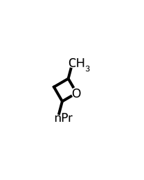 CCCC1CC(C)O1